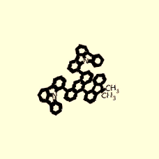 CC1(C)c2ccccc2-c2c(-c3c4cccc(-c5cccc6c7cccc8c9ccccc9n(c56)c87)c4cc4c(-c5cccc6c7cccc8c9ccccc9n(c56)c87)cccc34)cccc21